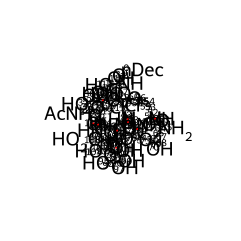 CCCCCCCCCCCC(=O)NC1[C@H](Oc2c3cc4cc2Oc2ccc(cc2Cl)[C@@H](O[C@@H]2OC(CO)[C@@H](O)C(O)[C@@H]2NC(C)=O)[C@@H]2NC(=O)[C@H](NC(=O)[C@@H]4NC(=O)[C@H]4NC(=O)[C@@H](Cc5ccc(c(Cl)c5)O3)NC(=O)[C@H](N)c3ccc(O)c(c3)Oc3cc(O)cc4c3)c3ccc(O)c(c3)-c3c(O[C@H]4OC(CO)[C@@H](O)[C@@H](O)C4O)cc(O)cc3[C@@H](C(=O)O)NC2=O)OC(CO)[C@@H](O)[C@@H]1O